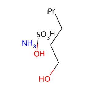 CC(C)CCCO.N.O=S(=O)(O)O